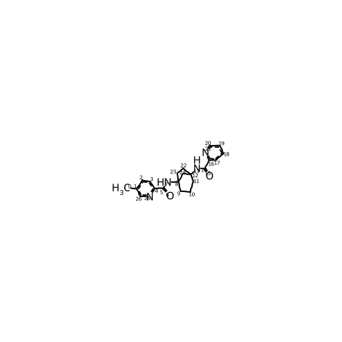 Cc1ccc(C(=O)NC23CCCC(NC(=O)c4ccccn4)(CC2)C3)nc1